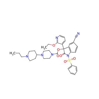 CCCN1CCC(N2CCN(C(=O)OC3(c4cccnc4OCC)C(=O)N(S(=O)(=O)c4ccccc4)c4ccc(C#N)cc43)CC2)CC1